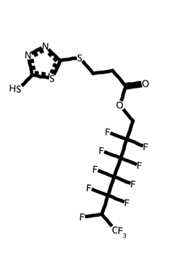 O=C(CCSc1nnc(S)s1)OCC(F)(F)C(F)(F)C(F)(F)C(F)(F)C(F)C(F)(F)F